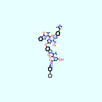 CO/N=C(/NCc1ccc(-c2scnc2C)cc1)[C@@H]1C[C@@H](Oc2ccc3c(c2)CN([C@H](C(=O)N2C[C@H](O)C[C@H]2C(=O)NCc2ccc(C4CCCC4)cc2)C(C)C)C3=O)CN1C(=O)[C@H](C(C)C)N1Cc2ccccc2C1=O